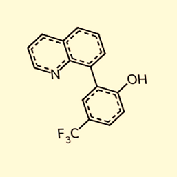 Oc1ccc(C(F)(F)F)cc1-c1cccc2cccnc12